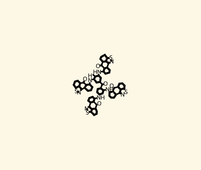 Cc1c(Nc2cccc3c2C(=O)c2cccc4snc-3c24)cc(C(=O)c2ccc(Nc3cccc4c3C(=O)c3cccc5snc-4c35)cc2Nc2cccc3c2C(=O)c2cccc4snc-3c24)cc1Nc1cccc2c1C(=O)c1cccc3snc-2c13